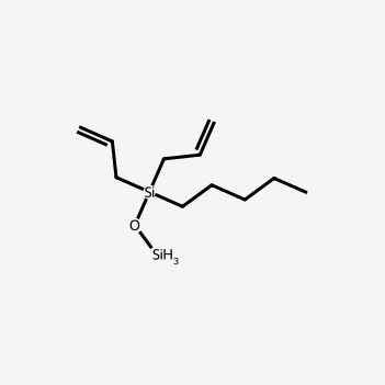 C=CC[Si](CC=C)(CCCCC)O[SiH3]